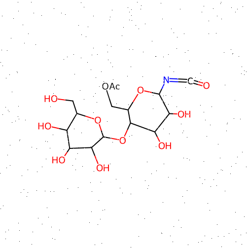 CC(=O)OCC1OC(N=C=O)C(O)C(O)C1OC1OC(CO)C(O)C(O)C1O